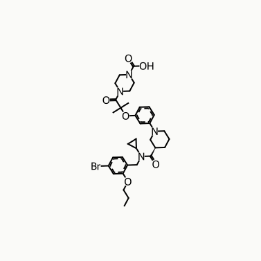 CCCOc1cc(Br)ccc1CN(C(=O)[C@@H]1CCCN(c2cccc(OC(C)(C)C(=O)N3CCN(C(=O)O)CC3)c2)C1)C1CC1